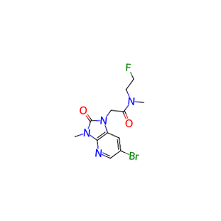 CN(CCF)C(=O)Cn1c(=O)n(C)c2ncc(Br)cc21